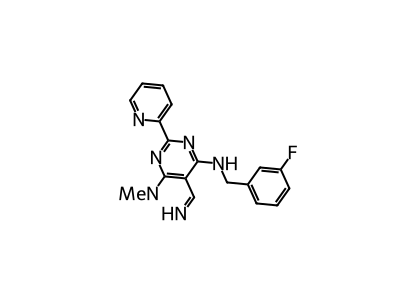 CNc1nc(-c2ccccn2)nc(NCc2cccc(F)c2)c1C=N